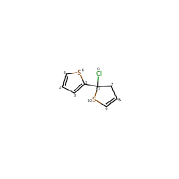 ClC1(c2cccs2)CC=CS1